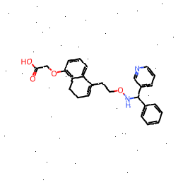 O=C(O)COc1cccc2c1CCC=C2CCONC(c1ccccc1)c1cccnc1